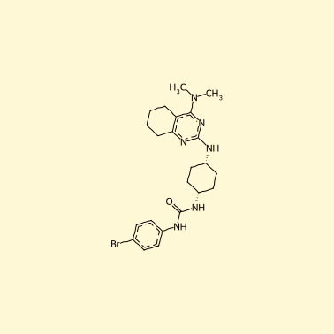 CN(C)c1nc(N[C@H]2CC[C@@H](NC(=O)Nc3ccc(Br)cc3)CC2)nc2c1CCCC2